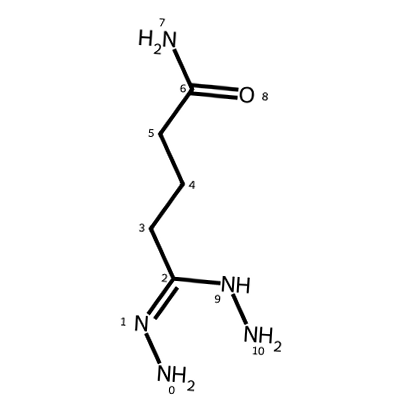 N/N=C(/CCCC(N)=O)NN